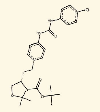 CC(C)(C)OC(=O)N1[C@@H](CCc2ccc(NC(=O)Nc3ccc(Cl)cc3)cc2)COC1(C)C